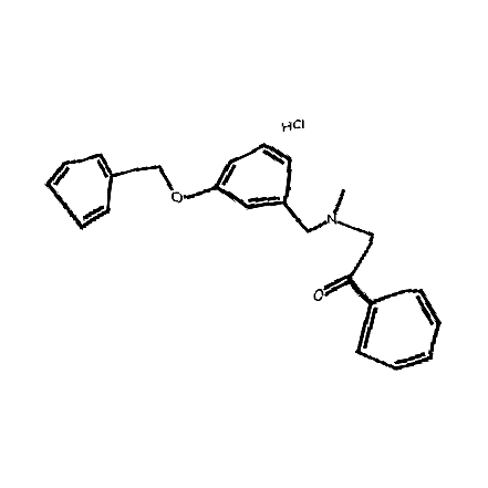 CN(CC(=O)c1ccccc1)Cc1cccc(OCc2ccccc2)c1.Cl